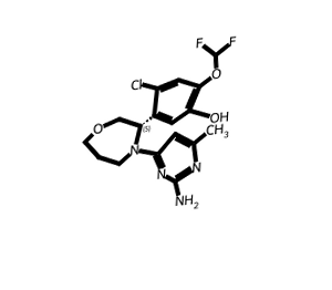 Cc1cc(N2CCCOC[C@@H]2c2cc(O)c(OC(F)F)cc2Cl)nc(N)n1